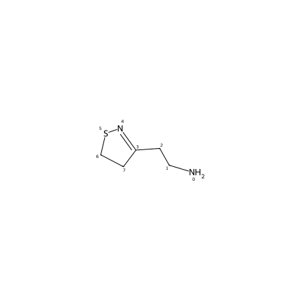 NCCC1=NSCC1